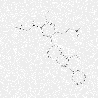 COc1cc(OCC(N)=O)c(-c2ccc3oc(-c4ccc(F)cc4)c(C=O)c3c2)cc1C(=O)NC(C)(C)C